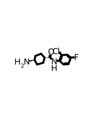 N[C@H]1CC[C@H](C(=O)Nc2ccc(F)cc2Cl)CC1